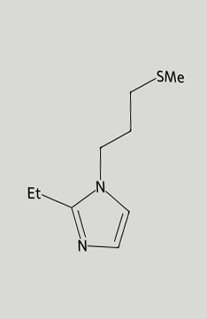 CCc1nccn1CCCSC